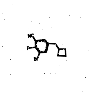 N#Cc1cc(CC2CCC2)cc(Br)c1F